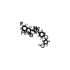 CO[C@H]1CC[C@H](Oc2ccc(-n3cc(-c4cc5cc(F)ccc5[nH]c4=O)nn3)cc2)C1